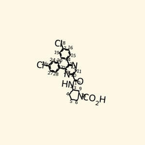 O=C(NC1CCCN(C(=O)O)C1)c1cnc(-c2ccc(Cl)cc2)c(-c2ccc(Cl)cc2)n1